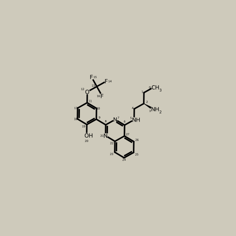 CC[C@@H](N)CNc1nc(-c2cc(OC(F)(F)F)ccc2O)nc2ccccc12